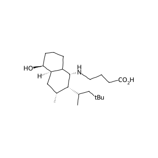 CC(CC(C)(C)C)[C@@H]1[C@H](C)C[C@@H]2C(CCC[C@@H]2O)[C@@H]1NCCCC(=O)O